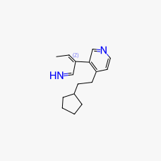 C/C=C(\C=N)c1cnccc1CCC1CCCC1